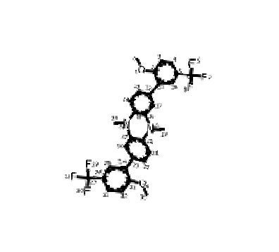 COc1ccc(C(F)(F)F)cc1-c1ccc2c(c1)N(C)c1ccc(-c3cc(C(F)(F)F)ccc3OC)cc1N2C